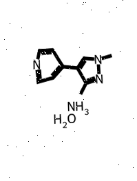 Cc1nn(C)cc1-c1ccncc1.N.O